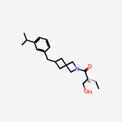 CC[C@H](CO)C(=O)N1CC2(CC(Cc3cccc(C(C)C)c3)C2)C1